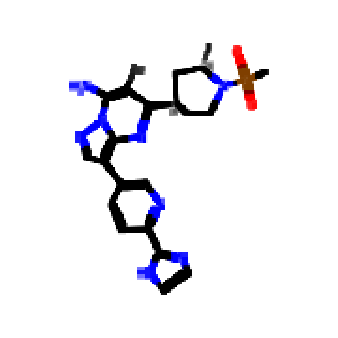 CC(=O)c1c([C@@H]2CCN(S(C)(=O)=O)[C@@H](C)C2)nc2c(-c3ccc(-c4ncc[nH]4)nc3)cnn2c1N